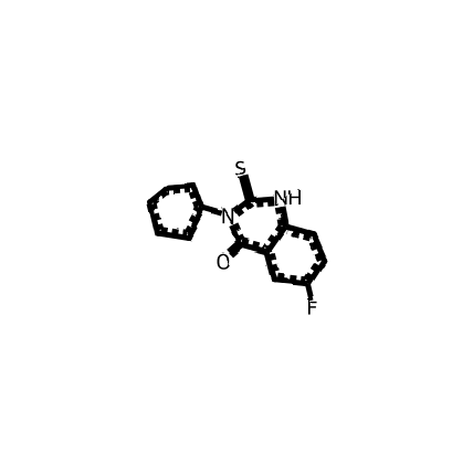 O=c1c2cc(F)ccc2[nH]c(=S)n1-c1ccccc1